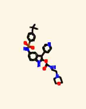 CC(C)(C)c1ccc(S(=O)(=O)Nc2ccc3[nH]c(OC(=O)NCCN4CCOCC4)c(-c4ccncc4)c3c2)cc1